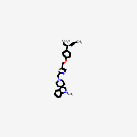 CC#C[C@@H](CC(=O)O)c1ccc(OCc2cnc(CN3CCC4(CC3)CN(C)c3ccccc34)s2)cc1